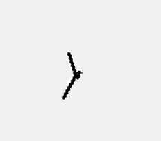 CCCCCCCCCCCCCCn1cc[n+](CC)c1CCCCCCCCCCCC